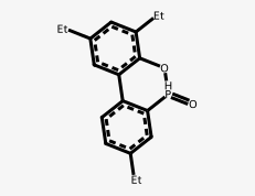 CCc1cc(CC)c2c(c1)-c1ccc(CC)cc1[PH](=O)O2